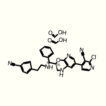 N#Cc1ccc(CCN[C@H](c2ccccc2)[C@@H]2CNc3cc(-c4ccnc(Cl)c4C#N)cnc3O2)cc1.O=CO.O=CO